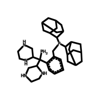 PC(c1ccccc1CP(C1C2CC3CC(C2)CC1C3)C1C2CC3CC(C2)CC1C3)(C1CNCCN1)C1CNCCN1